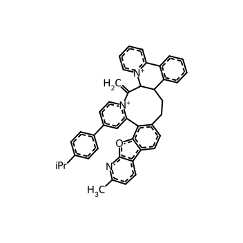 C=C1C2C(CCc3ccc4c(oc5nc(C)ccc54)c3-c3cc(-c4ccc(C(C)C)cc4)cc[n+]31)c1ccccc1-c1cccc[n+]12